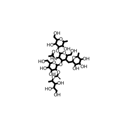 CC(=O)NC1C(OC2C(O)C(C)OC(CO)C2O)OC(CO)C(CC2OC(C)C(O)C(O)C2O)C1OC1OC(CO)C(O)C(O)C1O[C@@H](C)OC(C)C(O)[C@H](O)CO